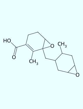 CC1=C(C(=O)O)CCC2OC12CC1CC2OC2CC1C